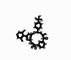 Cc1cccc(C)c1-c1cc2nc(n1)NS(=O)(=O)c1cccc(c1)C(=O)N(C)CC(c1ccc(C(C)(C)C)cc1)O2